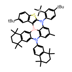 Cc1cc2c3c(c1)N(c1ccc(C(C)(C)C)cc1[Si](C)(C)C)c1sc4ccc(C(C)(C)C)cc4c1B3c1cc3c(cc1N2c1ccc2c(c1)C(C)(C)CCC2(C)C)C(C)(C)CCC3(C)C